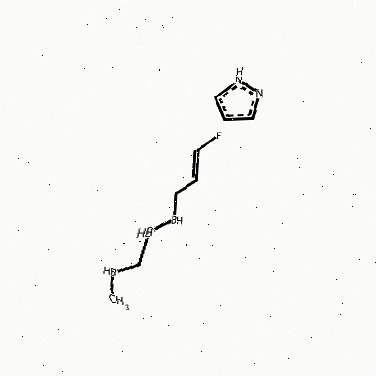 CBCBBCC=CF.c1cn[nH]c1